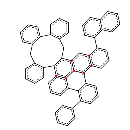 c1ccc(-c2ccccc2-c2c(-c3ccccc3)cccc2N(c2cccc(-c3cccc4ccccc34)c2)c2ccc3c(c2)Cc2ccccc2-c2ccccc2Cc2ccccc2-3)cc1